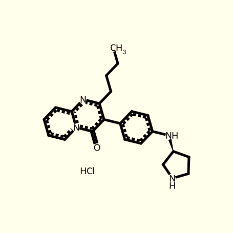 CCCCc1nc2ccccn2c(=O)c1-c1ccc(N[C@H]2CCNC2)cc1.Cl